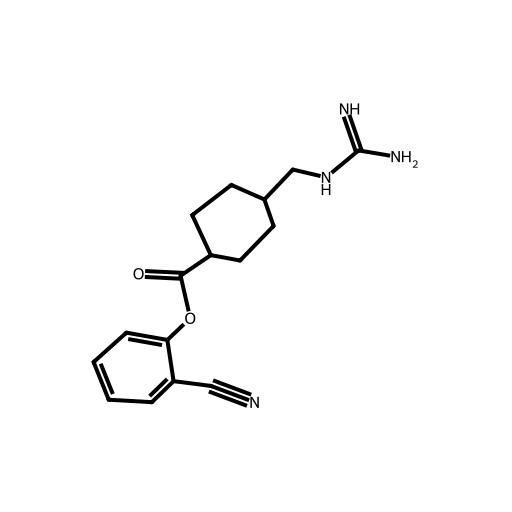 N#Cc1ccccc1OC(=O)C1CCC(CNC(=N)N)CC1